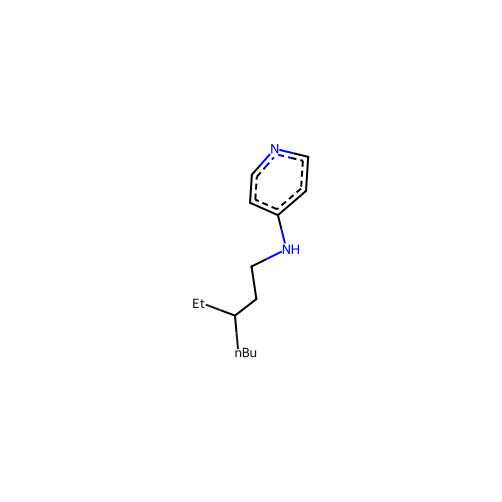 CCCCC(CC)CCNc1ccncc1